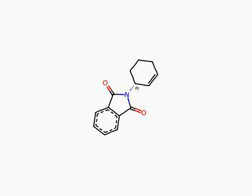 O=C1c2ccccc2C(=O)N1[C@H]1C=CCCC1